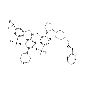 FC(F)(F)c1cc(CN(Cc2cc(C(F)(F)F)cnc2N2CCCC2C2CCC(COCc3ccccc3)CC2)c2ncc(N3CCOCC3)cn2)cc(C(F)(F)F)c1